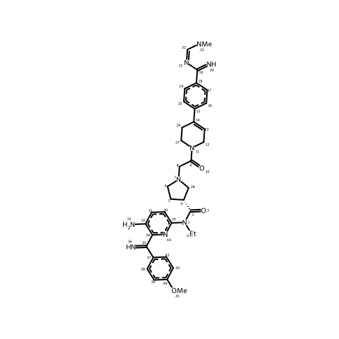 CCN(C(=O)[C@@H]1CCN(CC(=O)N2CC=C(c3ccc(C(=N)/N=C\NC)cc3)CC2)C1)c1ccc(N)c(C(=N)c2ccc(OC)cc2)n1